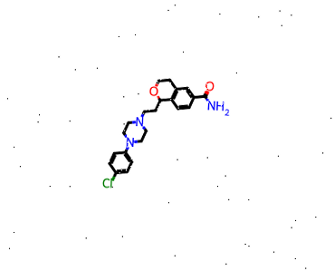 NC(=O)c1ccc2c(c1)CCOC2CCN1CCN(c2ccc(Cl)cc2)CC1